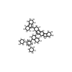 c1ccc(-c2nc(-c3ccccc3)nc(-c3ccc(-n4c5cc(-n6c7ccccc7c7ccccc76)ccc5c5cc6c(cc54)oc4ccccc46)c4ccccc34)n2)cc1